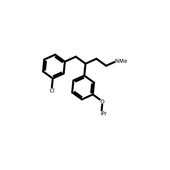 CNCCC(Cc1cccc(Cl)c1)c1cccc(OC(C)C)c1